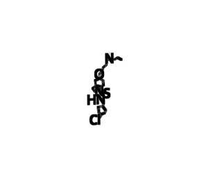 C=CCN(C)CCCCOc1ccc2c(c1)CCN2C(=S)NCc1ccc(Cl)cc1